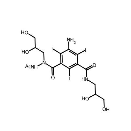 CC(=O)NN(CC(O)CO)C(=O)c1c(I)c(N)c(I)c(C(=O)NCC(O)CO)c1I